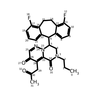 CCCN1CC(C2c3cccc(F)c3CCc3c(F)cccc32)n2ncc(=O)c(CC(C)=O)c2C1=O